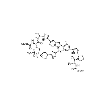 COC(=O)NC(C(=O)N1CCC[C@H]1c1ncc(-c2ccc3c(c2)cc2n3C(c3cnc(C4CCOCC4)s3)Oc3cc(-c4cnc([C@@H]5CCCN5C(=O)[C@@H](NC(=O)OC)C(C)C)[nH]4)cc(F)c3-2)[nH]1)C1CCOC(C)(C)C1